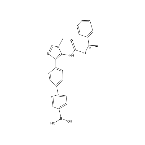 C[C@@H](OC(=O)Nc1c(-c2ccc(-c3ccc(B(O)O)cc3)cc2)ncn1C)c1ccccc1